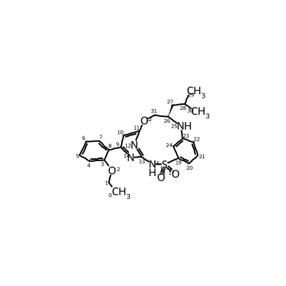 CCOc1ccccc1-c1cc2nc(n1)NS(=O)(=O)c1cccc(c1)N[C@H](CC(C)C)CO2